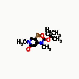 CN(C(=O)OC(C)(C)C)c1cc(=O)n(C)cc1Br